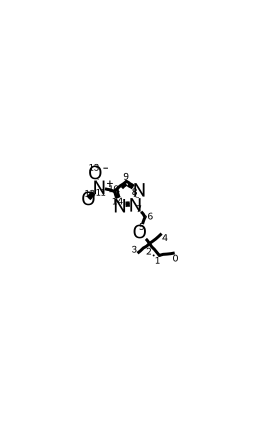 C[CH]C(C)(C)OCn1ncc([N+](=O)[O-])n1